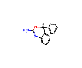 CC1(c2ccccc2)OC(N)=Nc2ccccc21